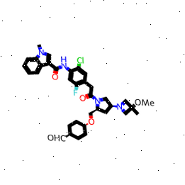 COC1(C)CN([C@H]2C[C@@H](CO[C@H]3CC[C@H](C=O)CC3)N(C(=O)Cc3cc(Cl)c(NC(=O)c4cn(C)c5ccccc45)cc3F)C2)C1